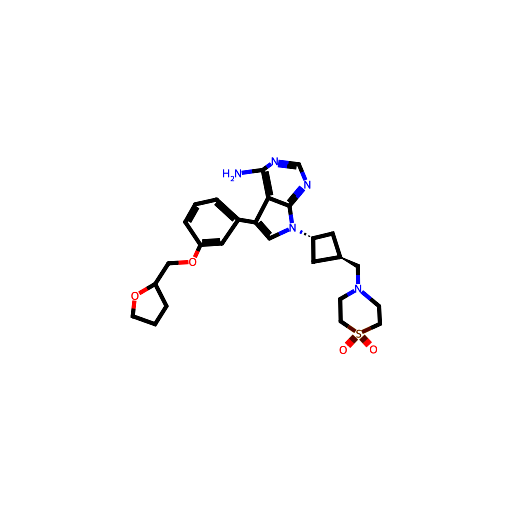 Nc1ncnc2c1c(-c1cccc(OCC3CCCO3)c1)cn2[C@H]1C[C@H](CN2CCS(=O)(=O)CC2)C1